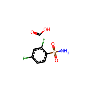 NS(=O)(=O)c1ccc(F)cc1F.O=CO